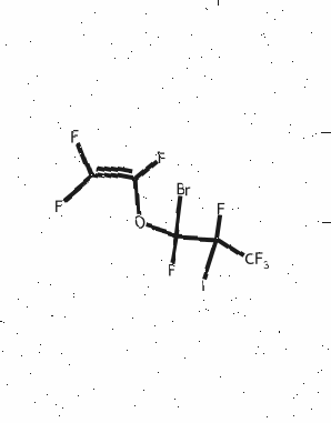 FC(F)=C(F)OC(F)(Br)C(F)(I)C(F)(F)F